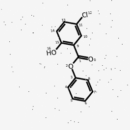 O=C(Oc1ccccc1)c1cc(Cl)ccc1O